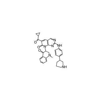 CN1CC(n2c(=O)c(C(=O)C3CC3)cc3cnc(Nc4ccc(C5CCCNC5)cc4)nc32)C(=O)c2ccccc21